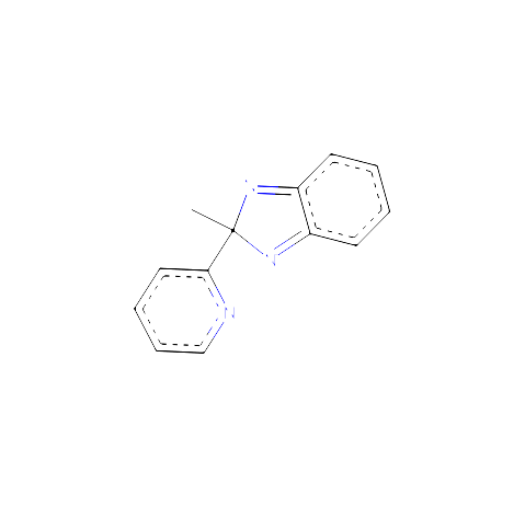 CC1(c2ccccn2)N=c2ccccc2=N1